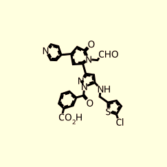 O=CCn1c(-c2cc(NCc3ccc(Cl)s3)n(C(=O)c3cccc(C(=O)O)c3)n2)cc(-c2ccncc2)cc1=O